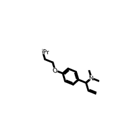 C=CC(c1ccc(OCCC(C)C)cc1)N(C)C